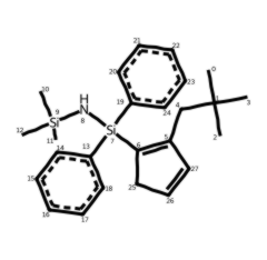 CC(C)(C)CC1=C([Si](N[Si](C)(C)C)(c2ccccc2)c2ccccc2)CC=C1